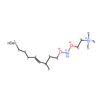 CCCCCCCCCCCCC/C=C/C(C)CCONOCC[N+](C)(C)C